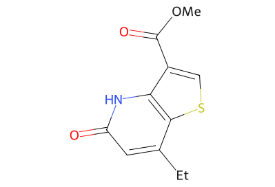 CCc1cc(=O)[nH]c2c(C(=O)OC)csc12